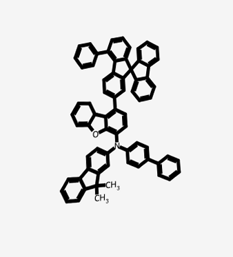 CC1(C)c2ccccc2-c2ccc(N(c3ccc(-c4ccccc4)cc3)c3ccc(-c4ccc5c(c4)C4(c6ccccc6-c6ccccc64)c4cccc(-c6ccccc6)c4-5)c4c3OC3=CC=CCC34)cc21